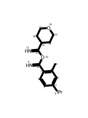 Cc1cc(C(C)C)ccc1C(=N)OC(=N)C1CCOCC1